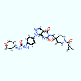 O=C(Nc1ccc(-n2ncc3c(=O)n(CC4(O)CCN(C(=O)C5CC5)CC4)cnc32)cc1)NC1CCOCC1